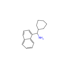 NC(c1cccc2ccccc12)C1CCCCC1